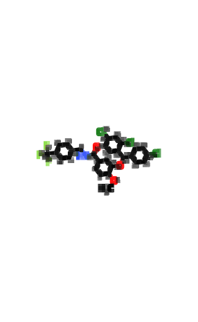 COc1ccc(C(=O)NCc2ccc(C(F)(F)F)cc2)cc1OC(c1ccc(Cl)cc1)c1ccc(Cl)cc1Cl